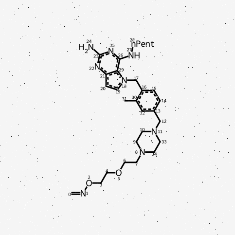 C=NOCCOCCN1CCN(Cc2ccc(Cn3ccc4nc(N)nc(NCCCCC)c43)c(C)c2)CC1